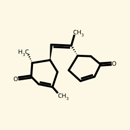 CC1=CC(=O)[C@H](C)[C@@H](/C=C(/C)[C@H]2CC=CC(=O)C2)C1